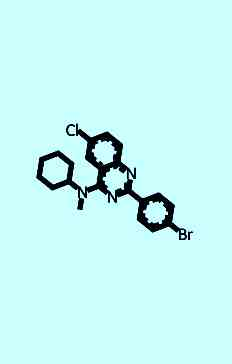 CN(c1nc(-c2ccc(Br)cc2)nc2ccc(Cl)cc12)C1CCCCC1